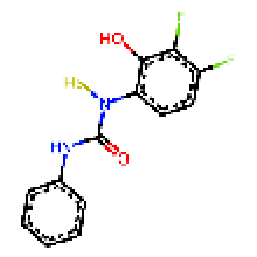 O=C(Nc1ccccc1)N(S)c1ccc(F)c(F)c1O